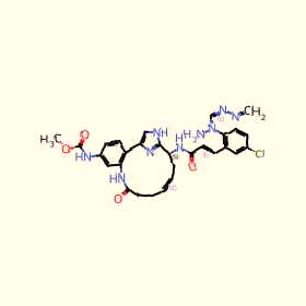 C=N/N=C\N(N)c1ccc(Cl)cc1/C=C/C(=O)N[C@H]1C/C=C\CCC(=O)Nc2cc(NC(=O)OC)ccc2-c2c[nH]c1n2